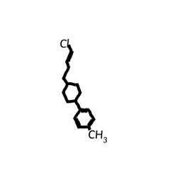 Cc1ccc(C2CCC(CC/C=C/Cl)CC2)cc1